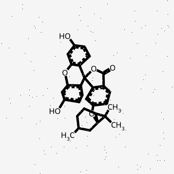 CC1CCC2C(C)(C)C2(Oc2ccc3c(c2)C2(OC3=O)c3ccc(O)cc3Oc3cc(O)ccc32)C1